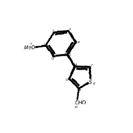 COc1cccc(-c2csc(C=O)c2)c1